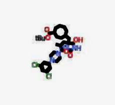 CC(CC1(CC2CCCCC(C(=O)OC(C)(C)C)CC2)NC(=O)NC1O)C(=O)N1CCN(c2cc(Cl)cc(Cl)c2)CC1